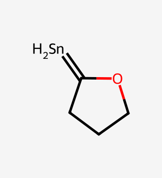 [SnH2]=[C]1CCCO1